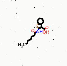 CCCCCCC(=O)Nc1sc2c(c1C(=O)O)CCCC2